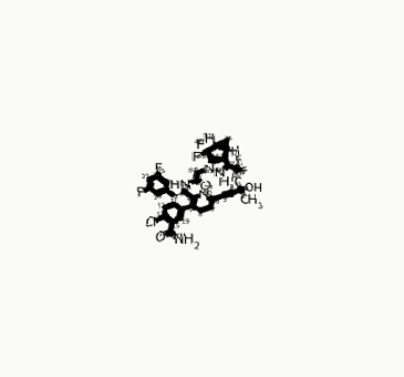 CC(C)(O)C#Cc1ccc(-c2ccc(Cl)c(C(N)=O)c2)c([C@H](Cc2cc(F)cc(F)c2)NC(=O)Cn2nc(C(F)(F)F)c3c2C(F)(F)[C@@H]2C[C@H]32)n1